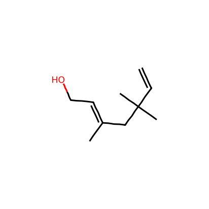 C=CC(C)(C)CC(C)=CCO